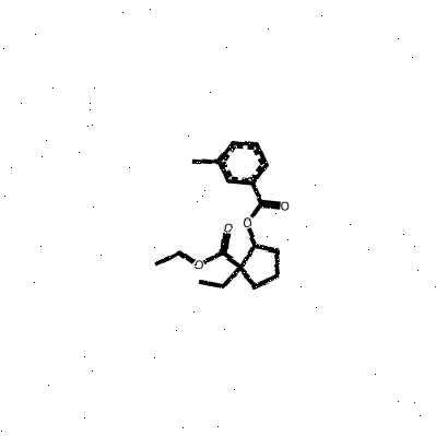 CCOC(=O)C1(CC)CCCC1OC(=O)c1cccc(C)c1